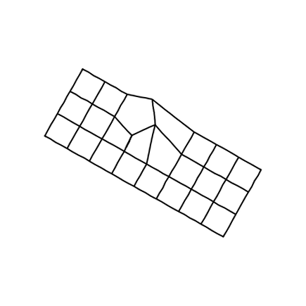 CC12C34C5C6CC7C8CC9C%10C%11C%12C%13C%14C%15CC%16C%17CC%18C%19C%20C5C15C%201C%19%20C%17%18C%16%15C%14%20C%131C%125C%112C%103C89C764